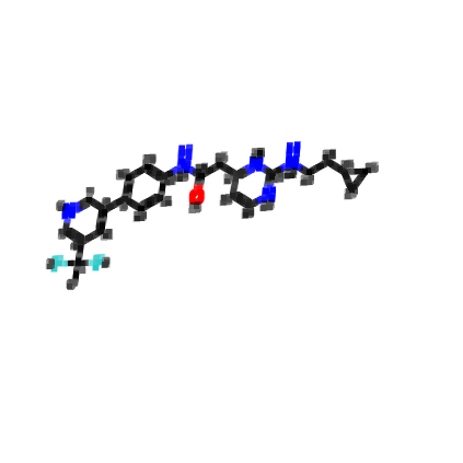 CC(F)(F)c1cncc(-c2ccc(NC(=O)Cc3ccnc(NCCC4CC4)n3)cc2)c1